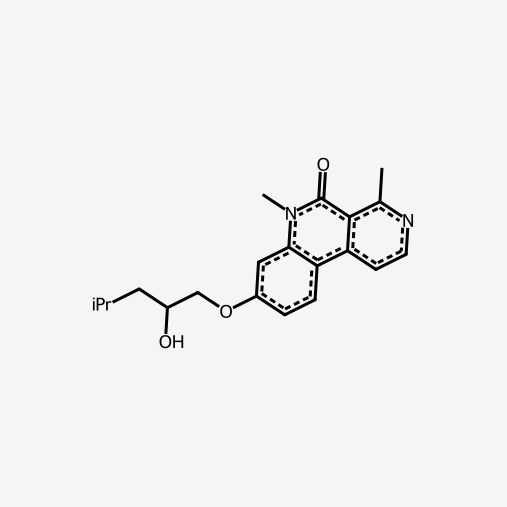 Cc1nccc2c1c(=O)n(C)c1cc(OCC(O)CC(C)C)ccc21